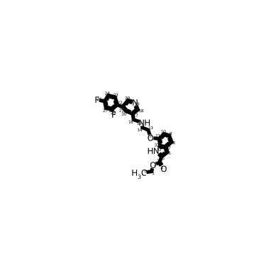 CCOC(=O)c1cc2cccc(OCCNCc3cncc(-c4ccc(F)cc4F)c3)c2[nH]1